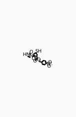 C[C@@]1(n2cc[nH]c2=O)C[C@H](S)CN1C(=O)OCc1ccc([N+](=O)[O-])cc1